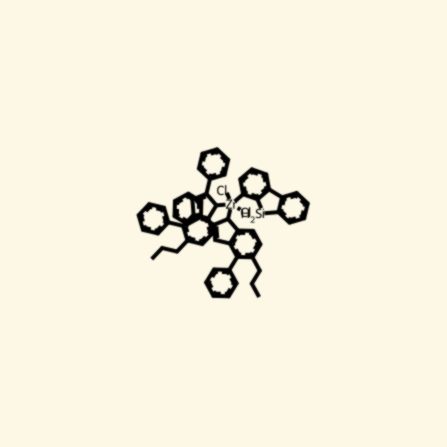 CCCc1ccc2c(c1-c1ccccc1)C=C(c1ccccc1)[CH]2[Zr]([Cl])([Cl])([c]1cccc2c1[SiH2]c1ccccc1-2)[CH]1C(c2ccccc2)=Cc2c1ccc(CCC)c2-c1ccccc1